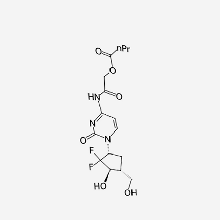 CCCC(=O)OCC(=O)Nc1ccn([C@@H]2C[C@H](CO)[C@@H](O)C2(F)F)c(=O)n1